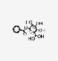 O=C(O[C@H]1O[C@H](C(O)O)[C@@H](O)[C@H](O)[C@H]1O)c1ccccc1